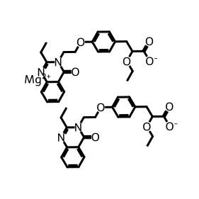 CCOC(Cc1ccc(OCCn2c(CC)nc3ccccc3c2=O)cc1)C(=O)[O-].CCOC(Cc1ccc(OCCn2c(CC)nc3ccccc3c2=O)cc1)C(=O)[O-].[Mg+2]